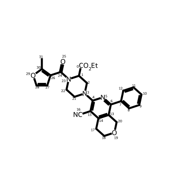 CCOC(=O)C1CN(c2nc(-c3ccccc3)c3c(c2C#N)CCOC3)CCN1C(=O)c1ccoc1C